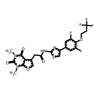 Cn1c(=O)c2c(CC(=O)Nc3nc(-c4cc(F)c(OCCC(F)(F)F)c(F)c4)cs3)coc2n(C)c1=O